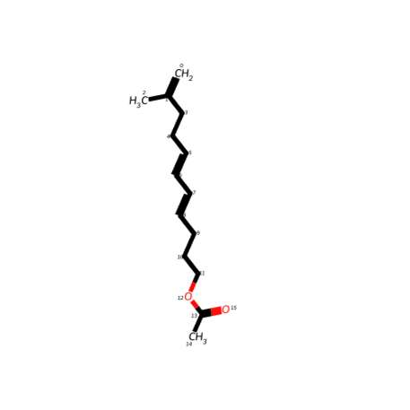 C=C(C)CCC=CC=CCCCOC(C)=O